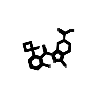 O=C(O)[C@H]1CCc2c(I)nn(C(=O)c3c(Cl)cccc3C3(F)CCC3)c2C1